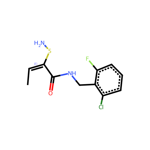 C/C=C(/SN)C(=O)NCc1c(F)cccc1Cl